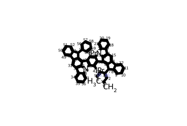 C=C/C=C(\C=C/C)C1c2ccccc2-c2cc3c4ccccc4n4c5c(C(C)C)c6c7c8c(cc9c%10ccccc%10n(c6c(C(C)C)c5c(c21)c34)c97)-c1ccccc1C8c1ccccc1